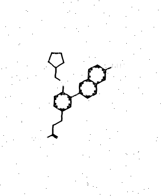 COC(=O)CCc1ccc(OCC2CCCC2)c(-c2ccc3cc(NC(C)=O)ccc3c2)c1